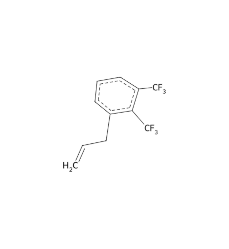 C=CCc1cccc(C(F)(F)F)c1C(F)(F)F